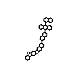 c1ccc2c(-c3c4ccccc4c(-c4ccc5cc(-c6ccc7cc8sc9cc%10c(cc9c8cc7c6)oc6ccccc6%10)ccc5c4)c4ccccc34)cccc2c1